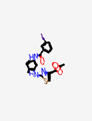 Cc1ccc(NC(=O)c2cccc(I)c2)cc1Nc1nc(C2OC(C)O2)cs1